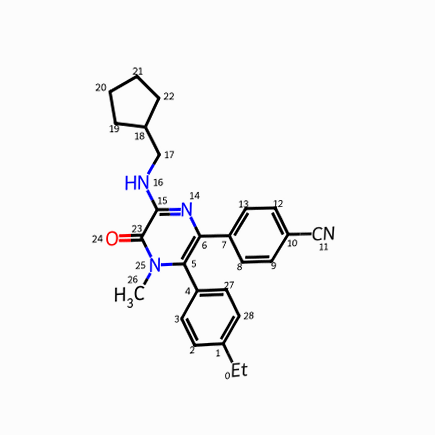 CCc1ccc(-c2c(-c3ccc(C#N)cc3)nc(NCC3CCCC3)c(=O)n2C)cc1